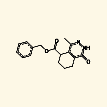 Cc1n[nH]c(=O)c2c1C(C(=O)OCc1ccccc1)CCC2